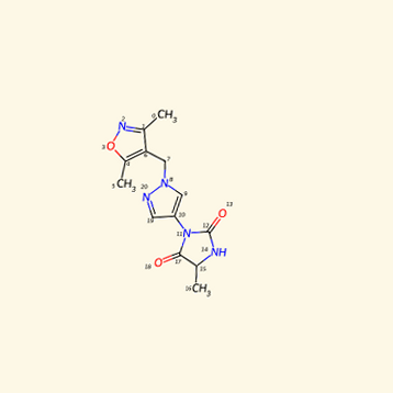 Cc1noc(C)c1Cn1cc(N2C(=O)NC(C)C2=O)cn1